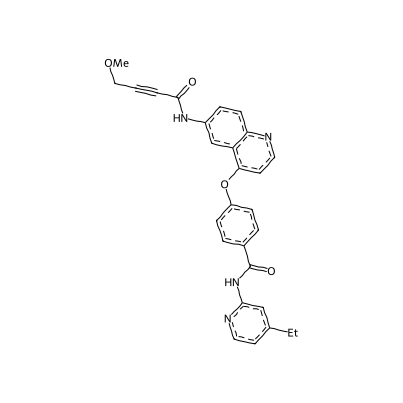 CCc1ccnc(NC(=O)c2ccc(Oc3ccnc4ccc(NC(=O)C#CCOC)cc34)cc2)c1